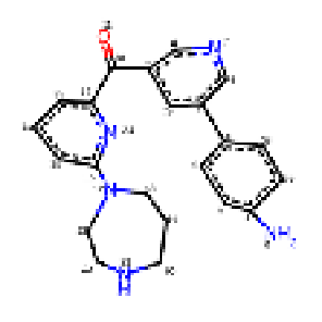 Nc1ccc(-c2cncc(C(=O)c3cccc(N4CCCNCC4)n3)c2)cc1